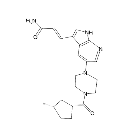 C[C@H]1CC[C@@H](C(=O)N2CCN(c3cnc4[nH]cc(/C=C/C(N)=O)c4c3)CC2)C1